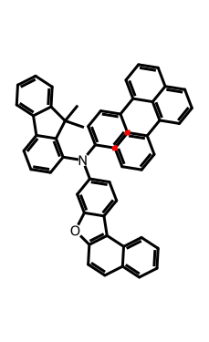 CC1(C)c2ccccc2-c2cccc(N(c3ccc(-c4cccc5cccc(-c6ccccc6)c45)cc3)c3ccc4c(c3)oc3ccc5ccccc5c34)c21